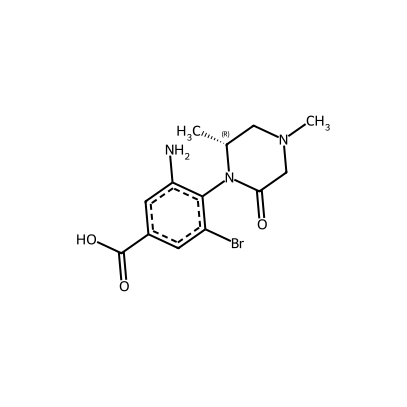 C[C@@H]1CN(C)CC(=O)N1c1c(N)cc(C(=O)O)cc1Br